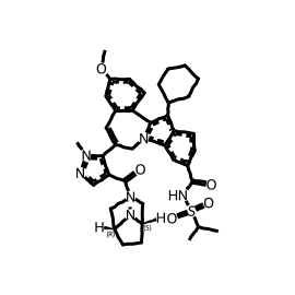 COc1ccc2c(c1)C=C(c1c(C(=O)N3C[C@H]4CC[C@@H](C3)N4C)cnn1C)Cn1c-2c(C2CCCCC2)c2ccc(C(=O)NS(=O)(=O)C(C)C)cc21